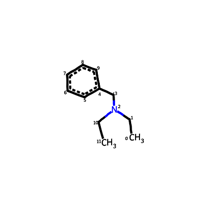 CCN([CH]c1ccccc1)CC